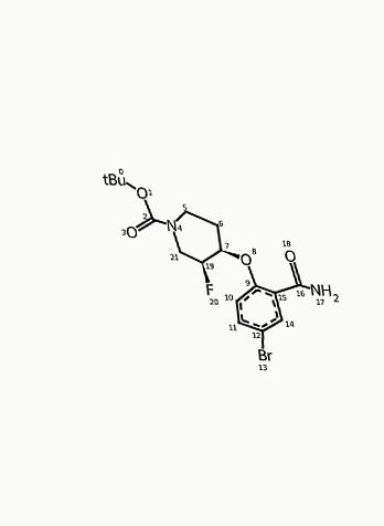 CC(C)(C)OC(=O)N1CC[C@@H](Oc2ccc(Br)cc2C(N)=O)[C@@H](F)C1